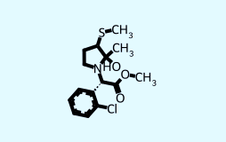 COC(=O)[C@H](c1ccccc1Cl)N1CCC(SC)C1(C)O